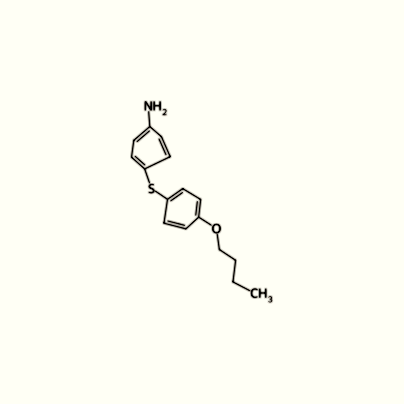 CCCCOc1ccc(Sc2ccc(N)cc2)cc1